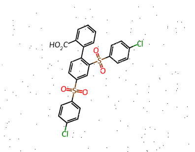 O=C(O)c1ccccc1-c1ccc(S(=O)(=O)c2ccc(Cl)cc2)cc1S(=O)(=O)c1ccc(Cl)cc1